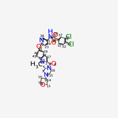 Cn1c(C(=O)N2CCN(C3CCOCC3)CC2)cc2cc(Oc3ccc(NS(=O)(=O)c4ccc(Cl)c(Cl)c4)cn3)ccc21